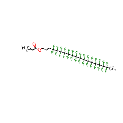 C=CC(=O)OCCCC(F)(F)C(F)(F)C(F)(F)C(F)(F)C(F)(F)C(F)(F)C(F)(F)C(F)(F)C(F)(F)C(F)(F)C(F)(F)C(F)(F)C(F)(F)C(F)(F)C(F)(F)C(F)(F)F